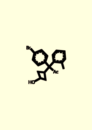 CC(=O)C(c1ccc(Br)cc1)(c1ccccc1C)C1CC(O)C1